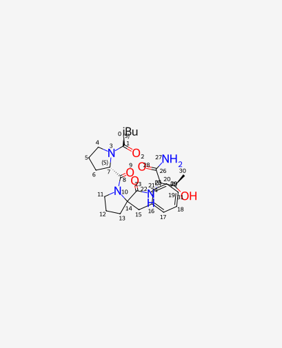 CC[C@H](C)C(=O)N1CCC[C@H]1C(=O)N1CCCC1(Cc1ccccc1)C(=O)N[C@H](C(N)=O)[C@@H](C)O